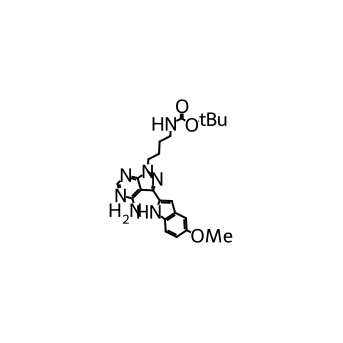 COc1ccc2[nH]c(-c3nn(CCCCNC(=O)OC(C)(C)C)c4ncnc(N)c34)cc2c1